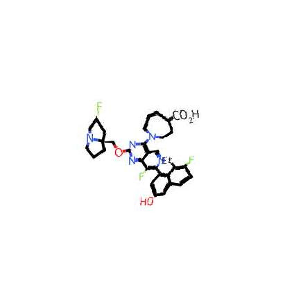 CCc1c(F)ccc2cc(O)cc(-c3ncc4c(N5CCCC(C(=O)O)CC5)nc(OC[C@@]56CCCN5C[C@H](F)C6)nc4c3F)c12